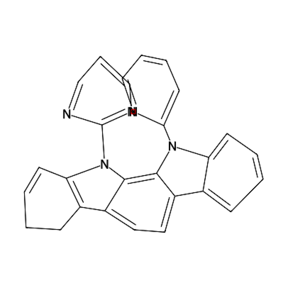 C1=Cc2c(c3ccc4c5ccccc5n(-c5ccccn5)c4c3n2-c2ncccn2)CC1